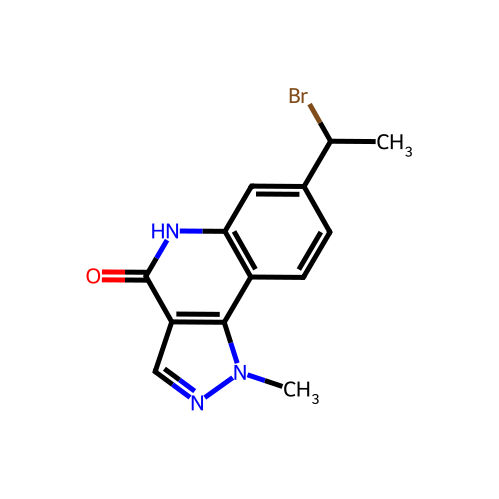 CC(Br)c1ccc2c(c1)[nH]c(=O)c1cnn(C)c12